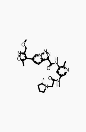 COCc1noc(C)c1-c1ccc2c(C(=O)Nc3cc(NC(=O)CN4CCC[C@@H]4C)cnc3C)nnn2c1